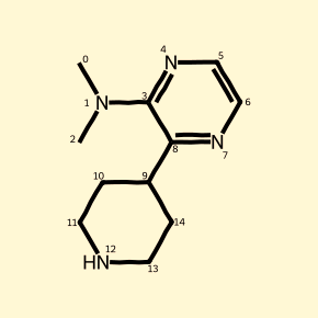 CN(C)c1nccnc1C1CCNCC1